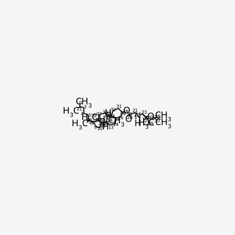 CC(C)CCC[C@H](C)[C@@H]1CC[C@@H]2[C@H]3CC=C4C[C@H](OC(=O)CNCC(=O)OC(C)(C)C)CC[C@@]4(C)[C@@H]3CC[C@]21C